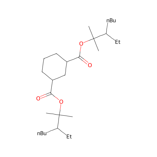 CCCCC(CC)C(C)(C)OC(=O)C1CCCC(C(=O)OC(C)(C)C(CC)CCCC)C1